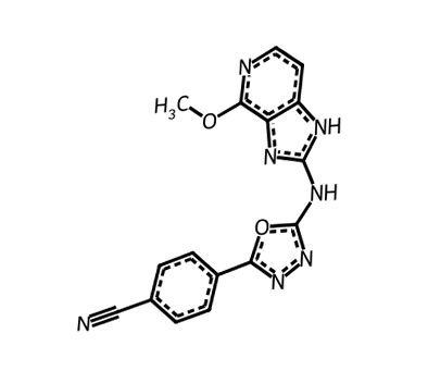 COc1nccc2[nH]c(Nc3nnc(-c4ccc(C#N)cc4)o3)nc12